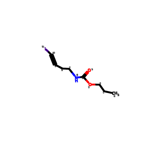 CCCOC(=O)NCCC#CI